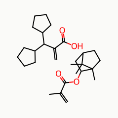 C=C(C(=O)O)C(C1CCCC1)C1CCCC1.C=C(C)C(=O)OC1CC2CCC1(C)C2(C)C